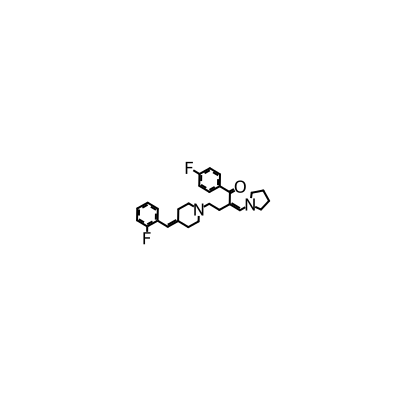 O=C(C(=CN1CCCC1)CCN1CCC(=Cc2ccccc2F)CC1)c1ccc(F)cc1